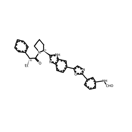 CC[C@@H](C(=O)N1CCC[C@H]1c1nc2ccc(-c3cnc(-c4cccc(NC=O)c4)o3)cc2[nH]1)c1ccccc1